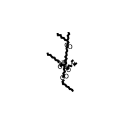 CCCCCC/C=C\COC(=O)CCCN(C(=O)CCN(CC)CC)C(CCCCCCCCC(=O)OCC(CCCC)CCCCCC)C(=O)NCCCCCCCC